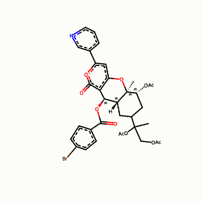 CC(=O)OCC(C)(OC(C)=O)C1C[C@@H]2[C@@H](OC(=O)c3ccc(Br)cc3)c3c(cc(-c4cccnc4)oc3=O)O[C@@]2(C)[C@H](OC(C)=O)C1